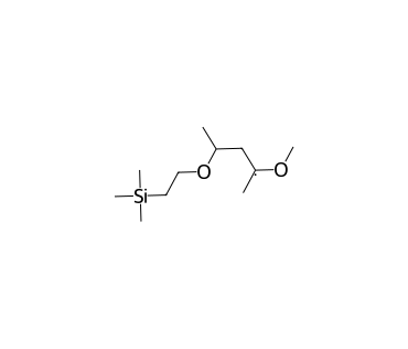 CO[C](C)CC(C)OCC[Si](C)(C)C